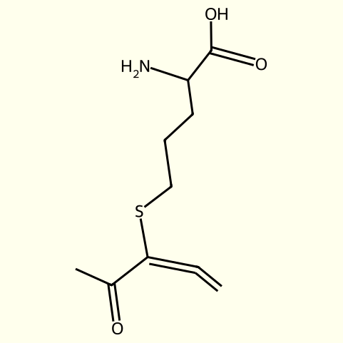 C=C=C(SCCCC(N)C(=O)O)C(C)=O